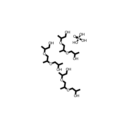 CC(O)COC(C)COC(C)CO.CC(O)COC(C)COC(C)CO.CC(O)COC(C)COC(C)CO.O=P(O)(O)O